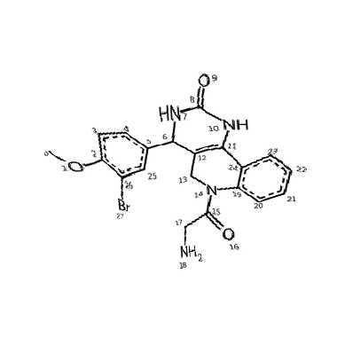 COc1ccc(C2NC(=O)NC3=C2CN(C(=O)CN)c2ccccc23)cc1Br